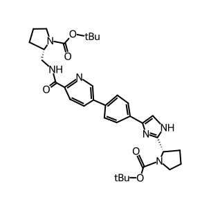 CC(C)(C)OC(=O)N1CCC[C@H]1CNC(=O)c1ccc(-c2ccc(-c3c[nH]c([C@@H]4CCCN4C(=O)OC(C)(C)C)n3)cc2)cn1